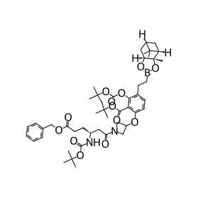 CC(C)(C)OC(=O)N[C@@H](CCC(=O)OCc1ccccc1)CC(=O)N1CC(Oc2ccc(CCB3O[C@@H]4C[C@@H]5C[C@@H](C5(C)C)[C@]4(C)O3)c(OC(=O)OC(C)(C)C)c2C(=O)OC(C)(C)C)C1